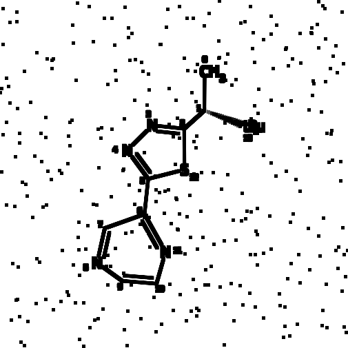 C[C@@H](c1nnc(-c2cnccn2)s1)C(C)(C)C